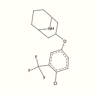 FC(F)(F)c1cc(OC2CC3CCCC(C2)N3)ccc1Cl